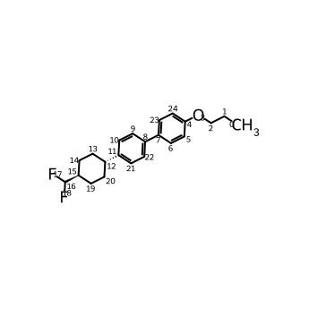 CCCOc1ccc(-c2ccc([C@H]3CC[C@H](C(F)F)CC3)cc2)cc1